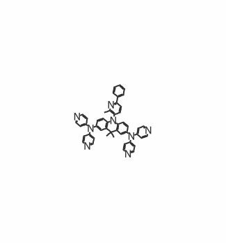 Cc1nc(-c2ccccc2)ccc1N1c2ccc(N(c3ccncc3)c3ccncc3)cc2C(C)(C)c2cc(N(c3ccncc3)c3ccncc3)ccc21